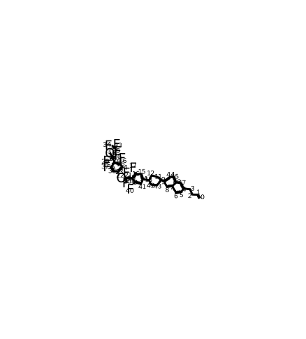 C=CCCc1ccc2cc(C3CCC(c4cc(F)c(C(F)(F)Oc5cc(F)c(C(F)(F)OC(F)(F)F)c(F)c5)c(F)c4)CC3)ccc2c1